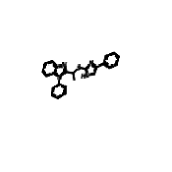 CC(Sc1nc(-c2ccccc2)c[nH]1)c1nc2ccccc2n1-c1ccccc1